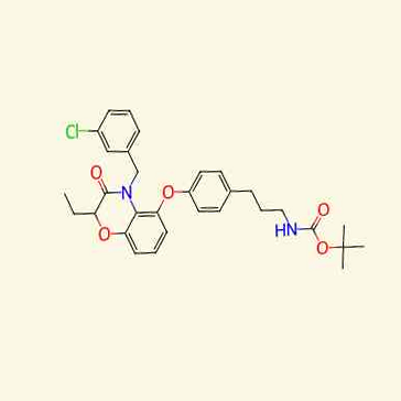 CCC1Oc2cccc(Oc3ccc(CCCNC(=O)OC(C)(C)C)cc3)c2N(Cc2cccc(Cl)c2)C1=O